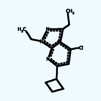 CCc1nn(CC)c2nc(C3CCC3)cc(Cl)c12